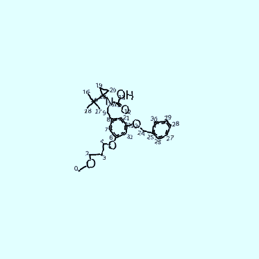 COCCCOc1cc(CN(C(=O)O)C2(C(C)(C)C)CC2)cc(OCc2ccccc2)c1